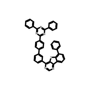 c1ccc(-c2nc(-c3ccccc3)nc(-c3ccc(-c4cccc(-c5ncnc6c5sc5c(-c7ccccc7)cccc56)c4)cc3)n2)cc1